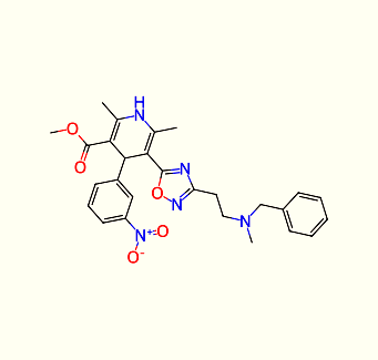 COC(=O)C1=C(C)NC(C)=C(c2nc(CCN(C)Cc3ccccc3)no2)C1c1cccc([N+](=O)[O-])c1